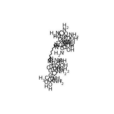 CC1[C@@H](OC2C(N)C[C@@H](N)C(O)[C@H]2O[C@@H]2O[C@H](Cn3cc(CCCCCc4cn(C[C@H]5O[C@@H](O[C@H]6C(O[C@H]7OC(CN)C(O)[C@H](O)C7N)C(N)C[C@@H](N)C6O)[C@@H](O)C5O[C@H]5O[C@@H](CN)C(O)C(O)C5N)nn4)nn3)C(O[C@H]3O[C@@H](CN)C(O)C(O)C3N)[C@@H]2O)OC(CN)C(O)[C@@H]1O